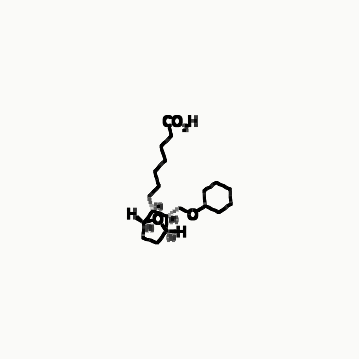 O=C(O)CCCCCC[C@@H]1[C@H](COC2CCCCC2)[C@@H]2CC[C@H]1O2